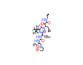 C=CCNC(=O)C(=O)C(CC1CC1)NC(=O)[C@@H]1[C@@H]2[C@H](CN1C(=O)[C@@H](NC(=O)N[C@H](CN1CCCS1(=O)=O)C(C)C)C(C)(C)C)C2(C)C